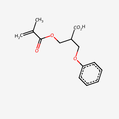 C=C(C)C(=O)OCC(COc1ccccc1)C(=O)O